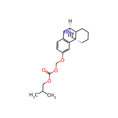 CC(C)COC(=O)OCOc1ccc2c(c1)[C@]13CCCC[C@@H]1[C@H](C2)NCC3